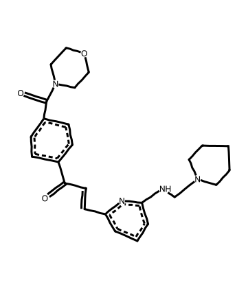 O=C(C=Cc1cccc(NCN2CCCCC2)n1)c1ccc(C(=O)N2CCOCC2)cc1